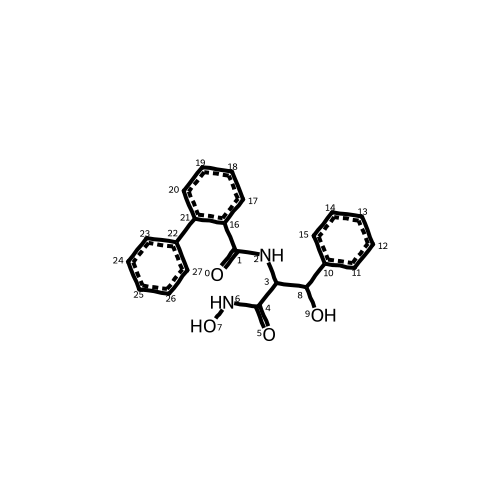 O=C(NC(C(=O)NO)C(O)c1ccccc1)c1ccccc1-c1ccccc1